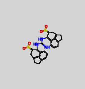 N=C(NC1=c2cccc3c2=C(CC3)CC1=S(=O)=O)NC1=c2cccc3c2=C(CC3)CC1=S(=O)=O